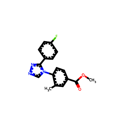 COC(=O)c1ccc(-n2cnnc2-c2ccc(F)cc2)c(C)c1